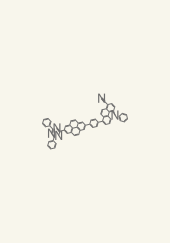 N#Cc1ccc2c3c1ccc1c(-c4ccc(-c5cc6ccc7cc(-c8nc(-c9ccccc9)nc(-c9ccccc9)n8)cc8ccc(c5)c6c78)cc4)ccc(c13)n2-c1ccccc1